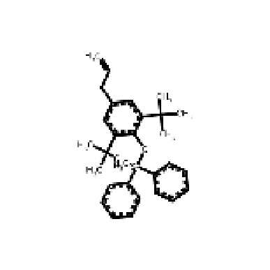 C=CCc1cc(C(C)(C)C)c(O[Si](C)(c2ccccc2)c2ccccc2)c(C(C)(C)C)c1